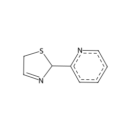 C1=NC(c2ccccn2)SC1